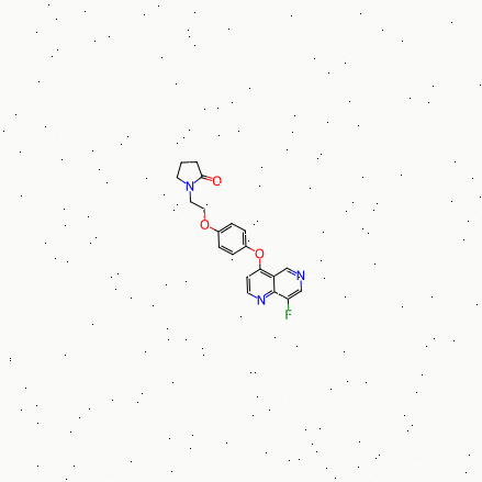 O=C1CCCN1CCOc1ccc(Oc2ccnc3c(F)cncc23)cc1